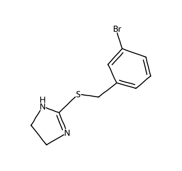 Brc1cccc(CSC2=NCCN2)c1